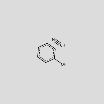 C#N.Oc1ccccc1